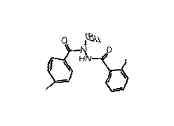 Cc1ccc(C(=O)N(NC(=O)c2ccccc2C)C(C)(C)C)cc1